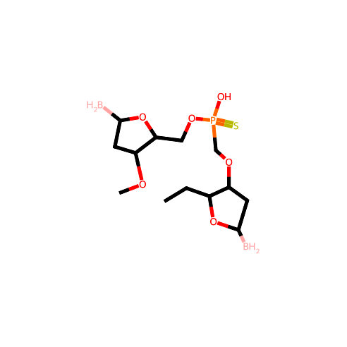 BC1CC(OC)C(COP(O)(=S)COC2CC(B)OC2CC)O1